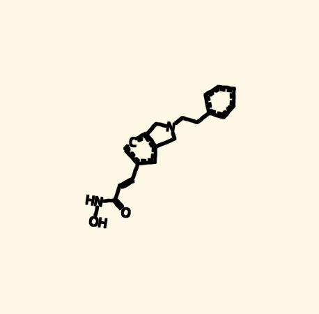 O=C(C=Cc1ccc2c(c1)CN(CCc1ccccc1)C2)NO